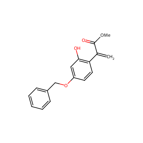 C=C(C(=O)OC)c1ccc(OCc2ccccc2)cc1O